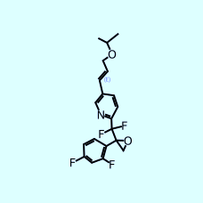 CC(C)OC/C=C/c1ccc(C(F)(F)C2(c3ccc(F)cc3F)CO2)nc1